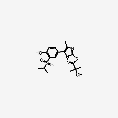 Cc1nc2sc(C(C)(C)O)nn2c1-c1ccc(O)c(S(=O)(=O)C(C)C)c1